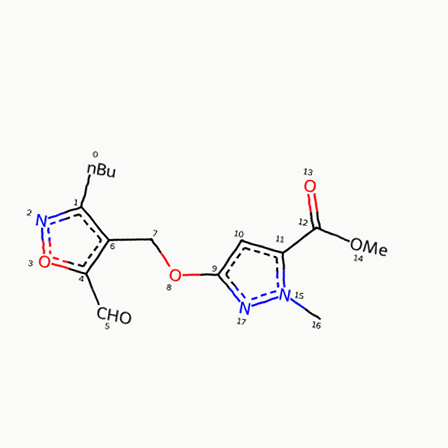 CCCCc1noc(C=O)c1COc1cc(C(=O)OC)n(C)n1